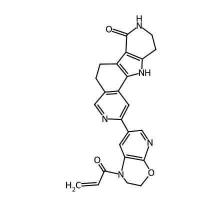 C=CC(=O)N1CCOc2ncc(-c3cc4c(cn3)CCc3c-4[nH]c4c3C(=O)NCC4)cc21